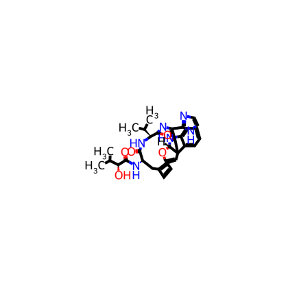 CC(C)[C@H](O)C(=O)N[C@H]1Cc2ccc3c(c2)C2(c4ccccc4N[C@H]2O3)c2oc(nc2-c2ncc[nH]2)[C@H](C(C)C)NC1=O